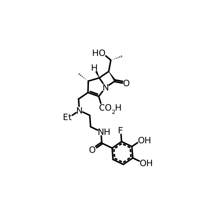 CCN(CCNC(=O)c1ccc(O)c(O)c1F)CC1=C(C(=O)O)N2C(=O)[C@H]([C@@H](C)O)[C@H]2[C@H]1C